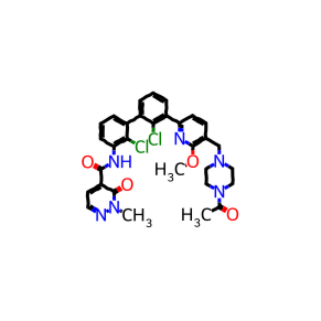 COc1nc(-c2cccc(-c3cccc(NC(=O)c4ccnn(C)c4=O)c3Cl)c2Cl)ccc1CN1CCN(C(C)=O)CC1